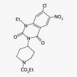 CCOC(=O)N1CCC(n2c(=O)c3cc([N+](=O)[O-])c(Cl)cc3n(CC)c2=O)CC1